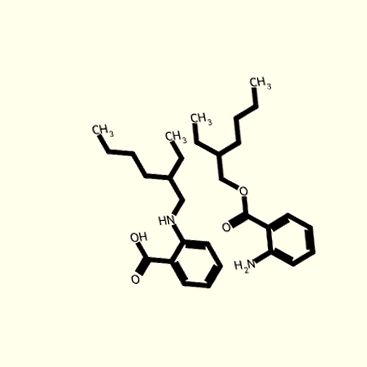 CCCCC(CC)CNc1ccccc1C(=O)O.CCCCC(CC)COC(=O)c1ccccc1N